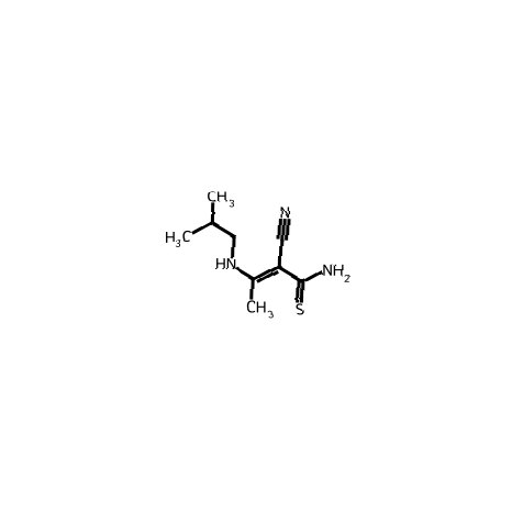 CC(NCC(C)C)=C(C#N)C(N)=S